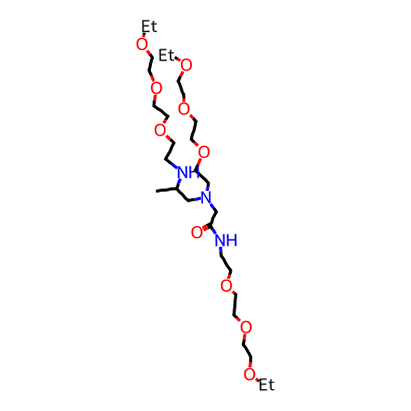 CCOCCOCCOCCNC(=O)CN(CCOCCOCCOCC)CC(C)NCCOCCOCCOCC